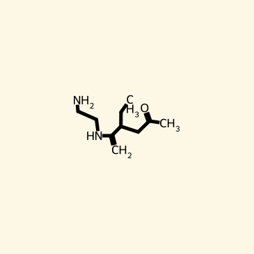 C=C(NCCN)C(CC)CC(C)=O